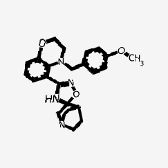 COc1ccc(CN2CCOc3cccc(C4=NOC5(CN6CCC5CC6)N4)c32)cc1